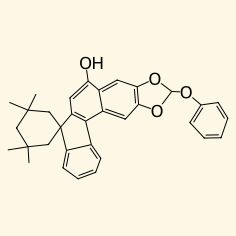 CC1(C)CC(C)(C)CC2(C1)c1ccccc1-c1c2cc(O)c2cc3c(cc12)OC(Oc1ccccc1)O3